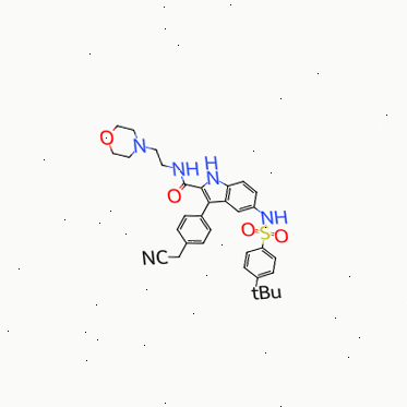 CC(C)(C)c1ccc(S(=O)(=O)Nc2ccc3[nH]c(C(=O)NCCN4CCOCC4)c(-c4ccc(CC#N)cc4)c3c2)cc1